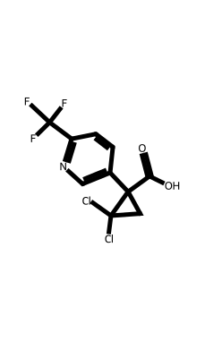 O=C(O)C1(c2ccc(C(F)(F)F)nc2)CC1(Cl)Cl